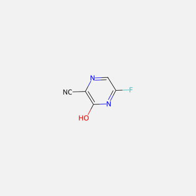 N#Cc1ncc(F)nc1O